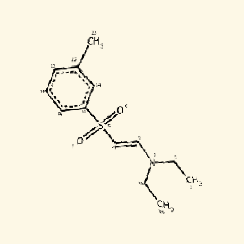 CCN(C=CS(=O)(=O)c1cccc(C)c1)CC